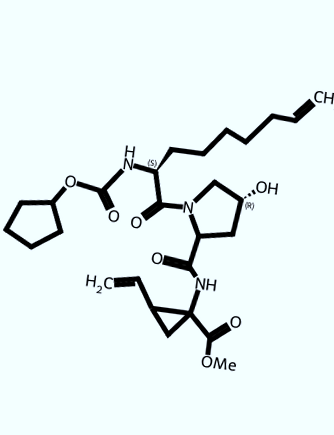 C=CCCCCC[C@H](NC(=O)OC1CCCC1)C(=O)N1C[C@H](O)CC1C(=O)NC1(C(=O)OC)CC1C=C